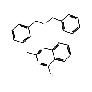 Cc1nc(Cl)c2ccccc2n1.c1ccc(CNCc2ccccc2)cc1